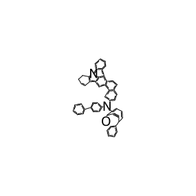 C1#CC2/C=C\C=C(\N(c3ccc(-c4ccccc4)cc3)c3ccc4ccc5c(cc6c7c(n8c9ccccc9c5c68)CCC=C7)c4c3)C1Oc1ccccc12